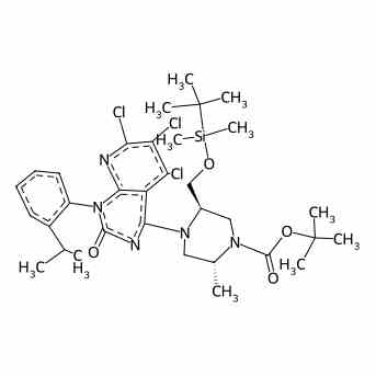 CC(C)c1ccccc1-n1c(=O)nc(N2C[C@@H](C)N(C(=O)OC(C)(C)C)C[C@@H]2CO[Si](C)(C)C(C)(C)C)c2c(Cl)c(Cl)c(Cl)nc21